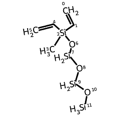 C=C[Si](C)(C=C)O[SiH2]O[SiH2]O[SiH3]